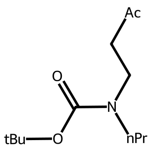 CCCN(CCC(C)=O)C(=O)OC(C)(C)C